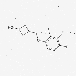 OC1CC(COc2ccc(F)c(F)c2F)C1